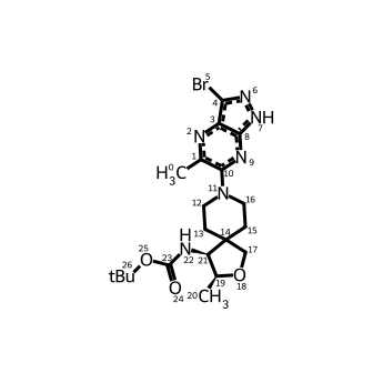 Cc1nc2c(Br)n[nH]c2nc1N1CCC2(CC1)CO[C@@H](C)[C@H]2NC(=O)OC(C)(C)C